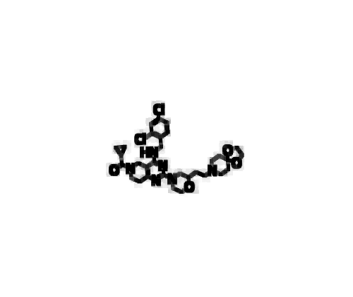 O=C(C1CC1)N1CCc2nc(N3CCOC(CCN4CCC5(CC4)OCCO5)C3)nc(NCc3ccc(Cl)cc3Cl)c2C1